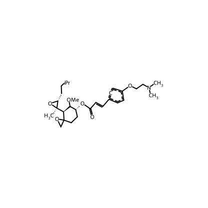 COC1[C@H](OC(=O)/C=C/c2ccc(OCCN(C)C)cc2)CCC2(CO2)[C@H]1[C@@]1(C)O[C@@H]1CCC(C)C